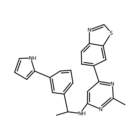 Cc1nc(NC(C)c2cccc(-c3ccc[nH]3)c2)cc(-c2ccc3ncsc3c2)n1